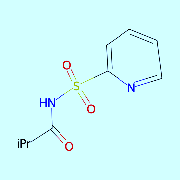 CC(C)C(=O)NS(=O)(=O)c1ccccn1